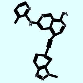 Cc1cccnc1Nc1cc2c(C#Cc3ccc4nnn(C)c4c3)cnc(N)c2cn1